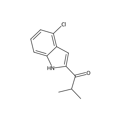 CC(C)C(=O)c1cc2c(Cl)cccc2[nH]1